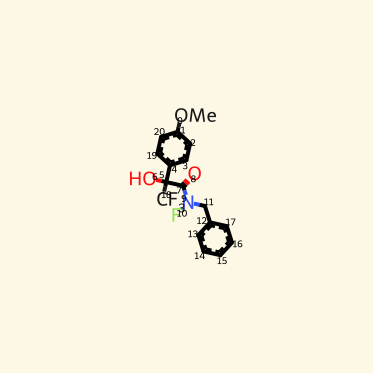 COc1ccc(C(O)(C(=O)N(F)Cc2ccccc2)C(F)(F)F)cc1